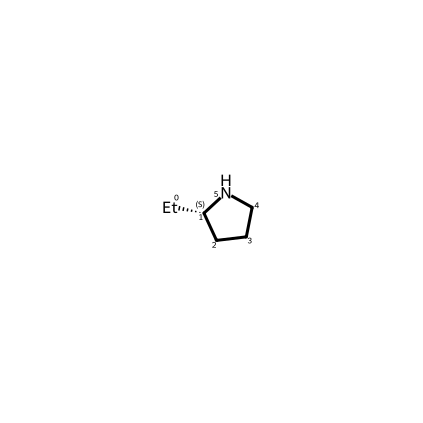 CC[C@H]1CCCN1